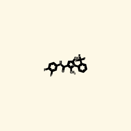 Cc1cc(C(=O)Nc2ccc(F)c(F)c2)c(C)n1-c1ccccc1C(F)(F)F